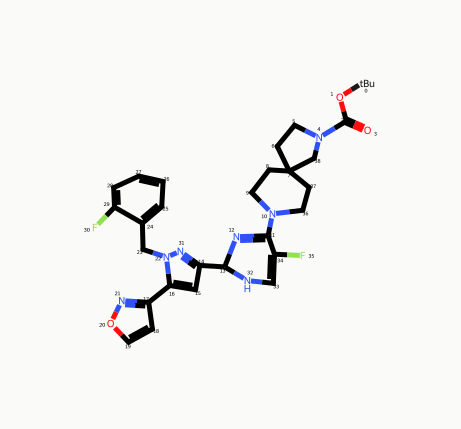 CC(C)(C)OC(=O)N1CCC2(CCN(C3=NC(c4cc(-c5ccon5)n(Cc5ccccc5F)n4)NC=C3F)CC2)C1